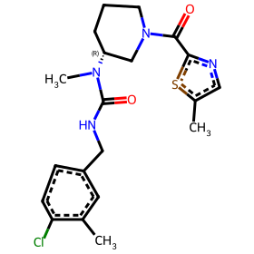 Cc1cnc(C(=O)N2CCC[C@@H](N(C)C(=O)NCc3ccc(Cl)c(C)c3)C2)s1